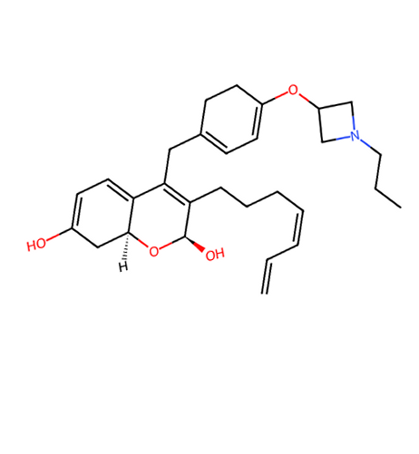 C=C/C=C\CCCC1=C(CC2=CC=C(OC3CN(CCC)C3)CC2)C2=CC=C(O)C[C@@H]2O[C@@H]1O